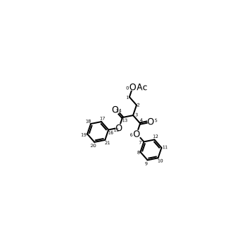 CC(=O)OCCC(C(=O)Oc1ccccc1)C(=O)Oc1ccccc1